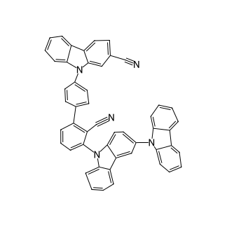 N#Cc1ccc2c3ccccc3n(-c3ccc(-c4cccc(-n5c6ccccc6c6cc(-n7c8ccccc8c8ccccc87)ccc65)c4C#N)cc3)c2c1